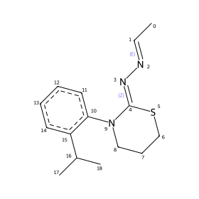 C/C=N/N=C1\SCCCN1c1ccccc1C(C)C